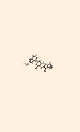 Cn1cc2c(-c3cc(F)c(CN4Cc5cn[nH]c5C4=O)c(F)c3)cccc2n1